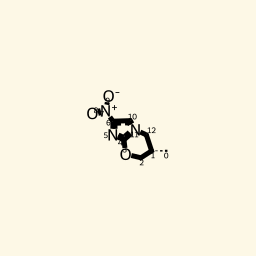 C[C@@H]1COc2nc([N+](=O)[O-])cn2C1